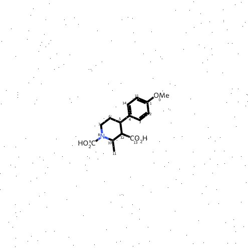 COc1ccc(C2CCN(C(=O)O)C(C)C2C(=O)O)cc1